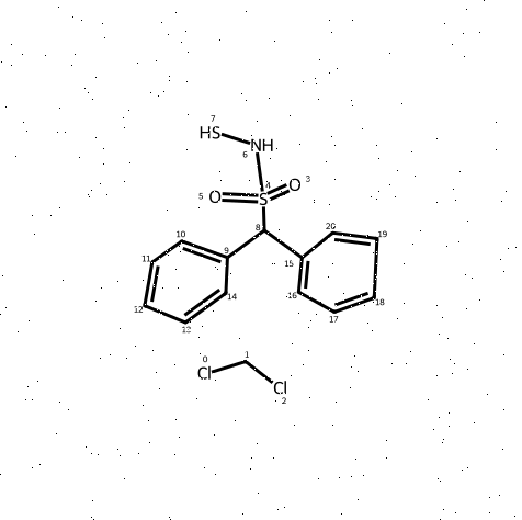 ClCCl.O=S(=O)(NS)C(c1ccccc1)c1ccccc1